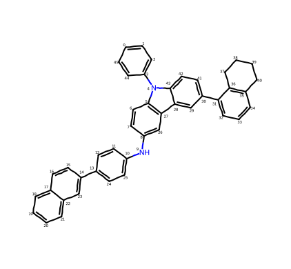 c1ccc(-n2c3ccc(Nc4ccc(-c5ccc6ccccc6c5)cc4)cc3c3cc(-c4cccc5c4CCCC5)ccc32)cc1